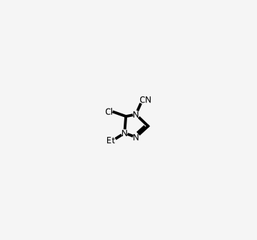 CCN1N=CN(C#N)C1Cl